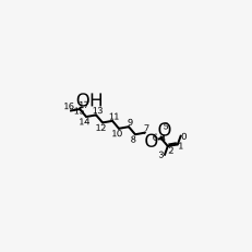 CC=C(C)C(=O)OCCCCCCCCC(C)O